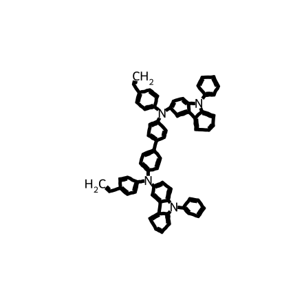 C=Cc1ccc(N(c2ccc(-c3ccc(N(c4ccc(C=C)cc4)c4ccc5c(c4)c4ccccc4n5-c4ccccc4)cc3)cc2)c2ccc3c(c2)c2ccccc2n3-c2ccccc2)cc1